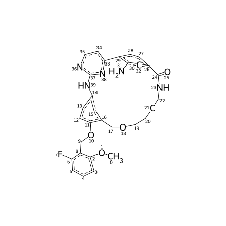 COc1cccc(F)c1COc1ccc2cc1COCCCCNC(=O)c1ccc(c(N)c1)-c1ccnc(n1)N2